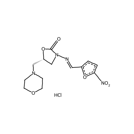 Cl.O=C1O[C@@H](CN2CCOCC2)CN1N=Cc1ccc([N+](=O)[O-])o1